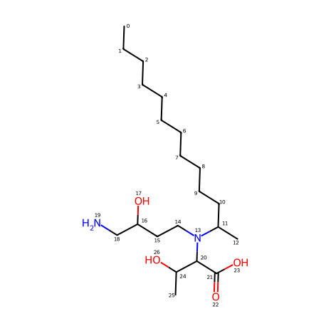 CCCCCCCCCCCC(C)N(CCC(O)CN)C(C(=O)O)C(C)O